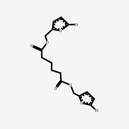 CCc1ccc(COC(=O)CCCCC(=O)OCc2ccc(CC)o2)o1